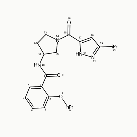 CCCOc1ccccc1C(=O)NC1CCN(C(=O)c2cc(C(C)C)n[nH]2)C1